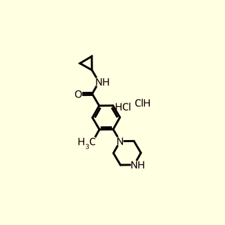 Cc1cc(C(=O)NC2CC2)ccc1N1CCNCC1.Cl.Cl